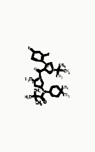 C[C@@H]1C[C@H](N(C(=O)C(C)(C)C)C2CCC(C)(C)CC2)CN1C(=O)C1CN(C(C)(C)C)C[C@@H]1c1ccc(F)cc1F